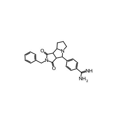 N=C(N)c1ccc(C2C3C(=O)N(Cc4ccccc4)C(=O)C3C3CCCN32)cc1